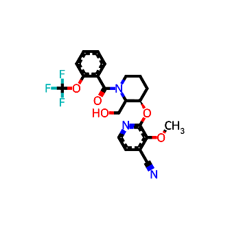 COc1c(C#N)ccnc1O[C@@H]1CCCN(C(=O)c2ccccc2OC(F)(F)F)C1CO